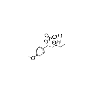 CCCCC(OP(=O)(O)O)c1ccc(OC)cc1